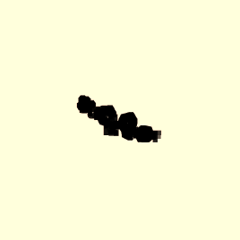 CC1(CO[Si](C)(C)C(C)(C)C)Cc2nnc(-c3cccc4c3ccn4-c3ccc(F)cc3)n2CCS1